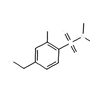 CN(C)S(=O)(=O)c1ccc(CCl)cc1Cl